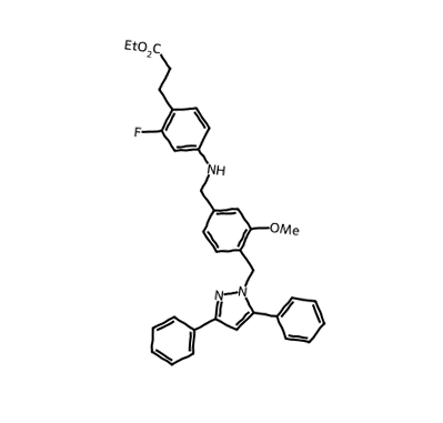 CCOC(=O)CCc1ccc(NCc2ccc(Cn3nc(-c4ccccc4)cc3-c3ccccc3)c(OC)c2)cc1F